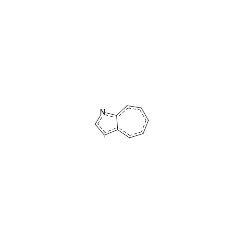 [c]1cnc2cccccc1-2